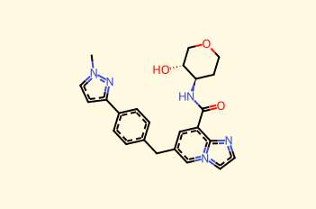 Cn1ccc(-c2ccc(Cc3cc(C(=O)N[C@@H]4CCOC[C@H]4O)c4nccn4c3)cc2)n1